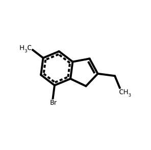 CCC1=Cc2cc(C)cc(Br)c2C1